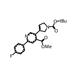 COC(=O)c1cc(-c2ccc(F)cc2)ncc1C1=CCN(C(=O)OC(C)(C)C)C1